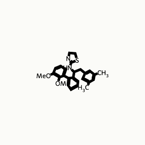 COc1cccc(-c2ccccc2C(Cc2cc(C)cc(C)c2)NC2=NCCS2)c1OC